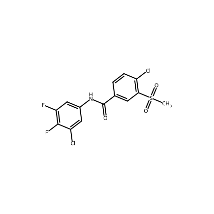 CS(=O)(=O)c1cc(C(=O)Nc2cc(F)c(F)c(Cl)c2)ccc1Cl